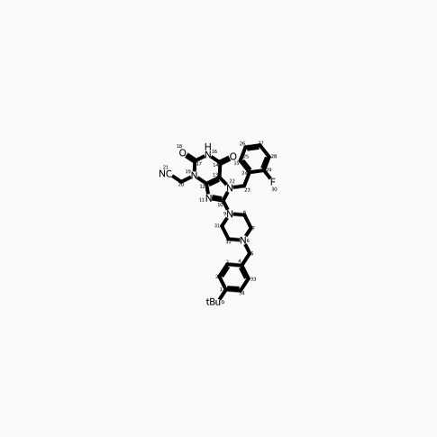 CC(C)(C)c1ccc(CN2CCN(c3nc4c(c(=O)[nH]c(=O)n4CC#N)n3Cc3ccccc3F)CC2)cc1